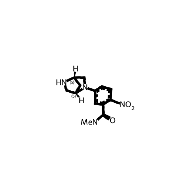 CNC(=O)c1cc(N2C[C@@H]3C[C@H]2CN3)ccc1[N+](=O)[O-]